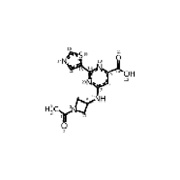 CC(=O)N1CC(Nc2cc(C(=O)O)nc(-c3cncs3)n2)C1